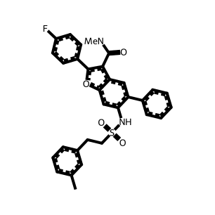 CNC(=O)c1c(-c2ccc(F)cc2)oc2cc(NS(=O)(=O)CCc3cccc(C)c3)c(-c3ccccc3)cc12